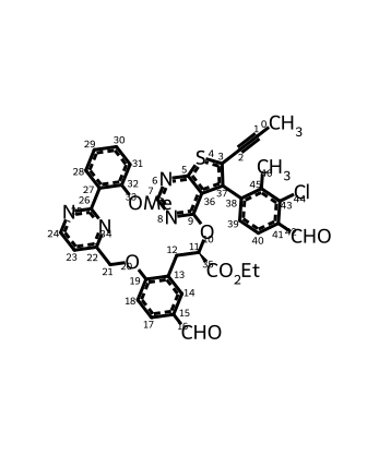 CC#Cc1sc2ncnc(O[C@H](Cc3cc(C=O)ccc3OCc3ccnc(-c4ccccc4OC)n3)C(=O)OCC)c2c1-c1ccc(C=O)c(Cl)c1C